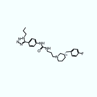 CCCn1nnnc1-c1ccc(NC(=O)NCCCN2CCC[C@@H](Cc3ccc(F)cc3)C2)cc1